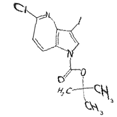 CC(C)(C)OC(=O)n1cc(I)c2nc(Cl)ccc21